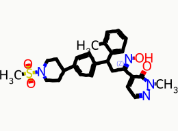 Cc1ccccc1C(C/C(=N/O)c1ccnn(C)c1=O)c1ccc(C2CCN(S(C)(=O)=O)CC2)cc1